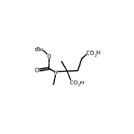 CN(C(=O)OC(C)(C)C)C(C)(CCC(=O)O)C(=O)O